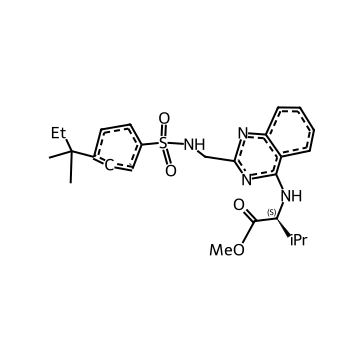 CCC(C)(C)c1ccc(S(=O)(=O)NCc2nc(N[C@H](C(=O)OC)C(C)C)c3ccccc3n2)cc1